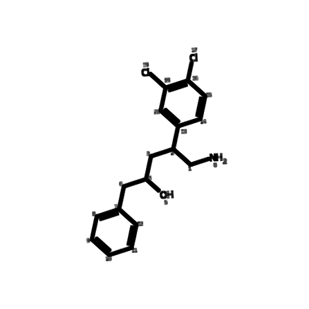 NCC(CC(O)Cc1ccccc1)c1ccc(Cl)c(Cl)c1